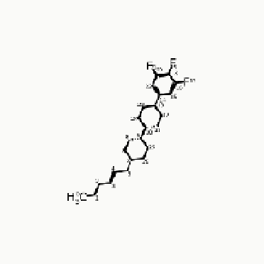 CCC/C=C/C[C@H]1CC[C@H]([C@H]2CC[C@H](c3cc(F)c(F)c(F)c3)CC2)CC1